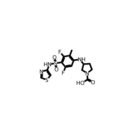 Cc1c(NC2CCN(C(=O)O)C2)cc(F)c(S(=O)(=O)Nc2cscn2)c1F